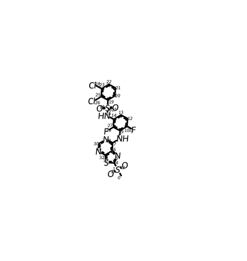 CS(=O)(=O)c1nc2c(Nc3c(F)ccc(NS(=O)(=O)c4cccc(Cl)c4Cl)c3F)ncnc2s1